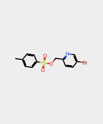 Cc1ccc(S(=O)(=O)OCc2ccc(Br)cn2)cc1